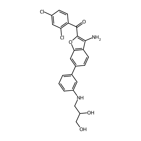 Nc1c(C(=O)c2ccc(Cl)cc2Cl)oc2cc(-c3cccc(NCC(O)CO)c3)ccc12